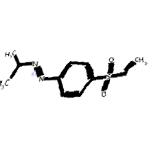 C=CS(=O)(=O)c1ccc(/N=N/C(C)C)cc1